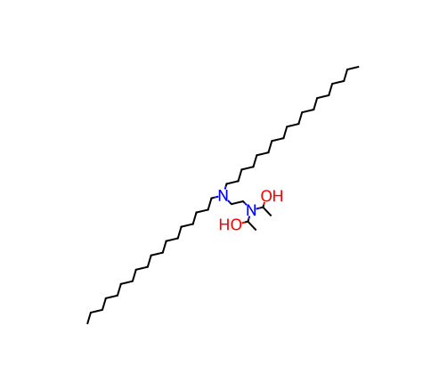 CCCCCCCCCCCCCCCCCCN(CCCCCCCCCCCCCCCCCC)CCN(C(C)O)C(C)O